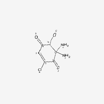 NC1(N)C(=O)C(Cl)=CC(=O)C1Cl